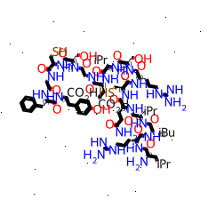 CC[C@H](C)C(NC(=O)[C@H](CCCNC(=N)N)NC(=O)[C@@H](N)CC(C)C)C(=O)N[C@H](C(=O)N[C@@H](CCC(N)=O)C(=O)N[C@@H](CS)C(=O)N[C@@H](CCCNC(=N)N)C(=O)N[C@@H](CO)C(=O)N[C@H](C(=O)N[C@@H](CCC(=O)O)C(=O)NCC(=O)N[C@@H](CO)C(=O)NC(CS)C(=O)NCC(=O)N[C@@H](Cc1ccccc1)C(=O)N[C@@H](Cc1ccc(O)cc1)C(=O)O)C(C)C)C(C)C